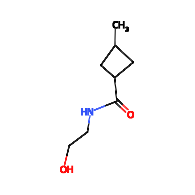 CC1CC(C(=O)NCCO)C1